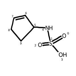 O=S(=O)(O)NC1C=CCC1